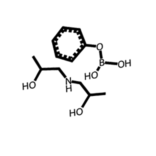 CC(O)CNCC(C)O.OB(O)Oc1ccccc1